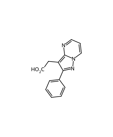 O=C(O)Cc1c(-c2ccccc2)nn2cccnc12